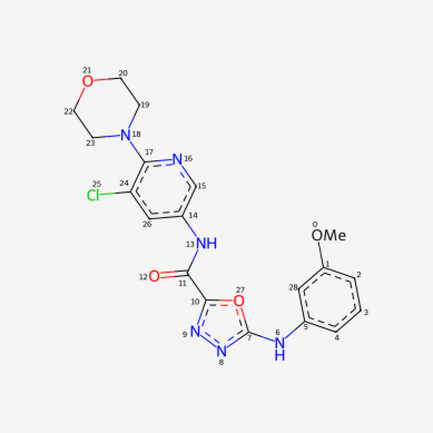 COc1cccc(Nc2nnc(C(=O)Nc3cnc(N4CCOCC4)c(Cl)c3)o2)c1